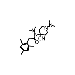 Cc1cc(C)c(CC(=O)N(N(C)C)C2(C#N)CCN(N(C)C)CC2)c(C)c1